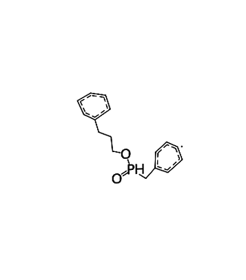 O=[PH](Cc1cc[c]cc1)OCCCc1ccccc1